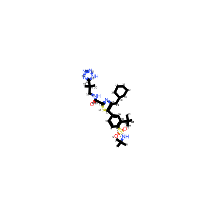 CC(C)(C)NS(=O)(=O)c1ccc(-c2sc(C(=O)NCC(C)(C)c3nnn[nH]3)nc2CC2CCCCC2)cc1C(C)(C)C